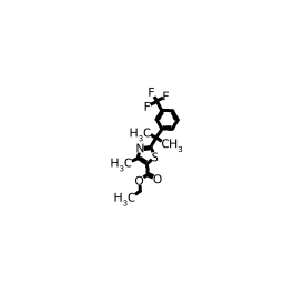 CCOC(=O)c1sc(C(C)(C)c2cccc(C(F)(F)F)c2)nc1C